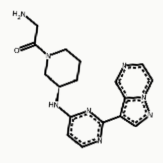 NCC(=O)N1CCC[C@@H](Nc2ccnc(-c3cnn4ccncc34)n2)C1